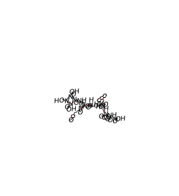 COc1ccc(CCCC(=O)NCC(=O)N[C@@H](CCCCNC(=O)CN2CCN(CC(=O)O)CCN(CCO)CCN(CC(=O)O)CC2)CC(=O)NCC2CCC(C(=O)N[C@@H](Cc3c4ccccc4cc4ccccc34)C(=O)NCCCC[C@H](NC(=O)N[C@@H](CCCC(=O)O)C(=O)O)C(=O)O)CC2)cc1